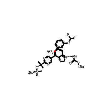 CC(C)(C)OC(=O)N[C@H]1C[C@H](c2c(OC(F)F)cccc2C(=O)O)C23C=CC=C(c4cnc(C(C)(C)O[Si](C)(C)C(C)(C)C)nc4)C2=NCN13